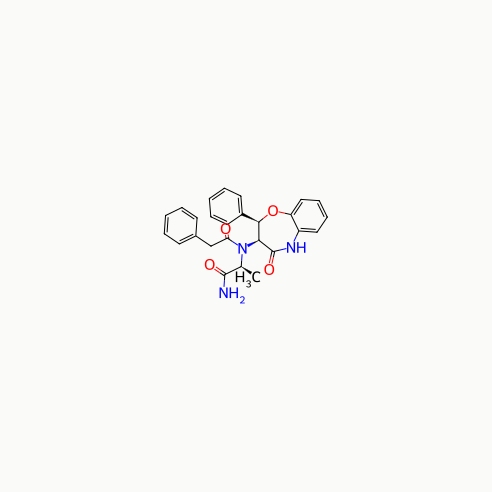 C[C@@H](C(N)=O)N(C(=O)Cc1ccccc1)[C@@H]1C(=O)Nc2ccccc2O[C@@H]1c1ccccc1